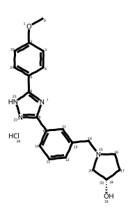 COc1ccc(-c2nc(-c3cccc(CN4CC[C@H](O)C4)c3)n[nH]2)cc1.Cl